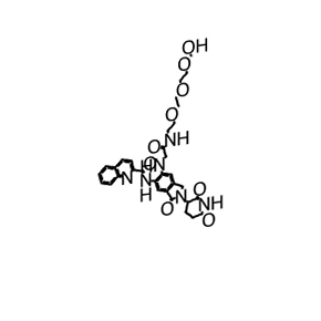 O=C(CNc1cc2c(cc1NC(=O)c1ccc3ccccc3n1)C(=O)N(C1CCC(=O)NC1=O)C2)NCCOCCOCCOCO